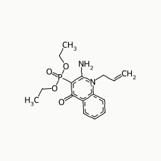 C=CCn1c(N)c(P(=O)(OCC)OCC)c(=O)c2ccccc21